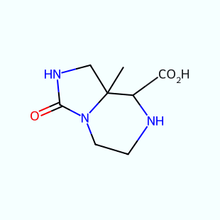 CC12CNC(=O)N1CCNC2C(=O)O